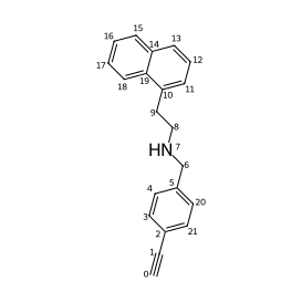 C#Cc1ccc(CNCCc2cccc3ccccc23)cc1